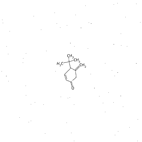 C=C1CC(=O)C=CC1C(C)(C)C